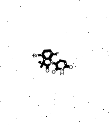 CC1(C)C(=O)N(C2CCC(=O)NC2=O)c2c(F)ccc(Br)c21